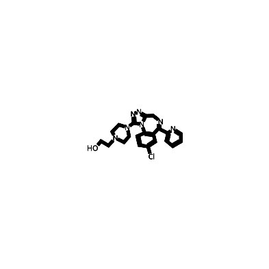 OCCN1CCN(c2nnc3n2-c2ccc(Cl)cc2C(c2ccccn2)=NC3)CC1